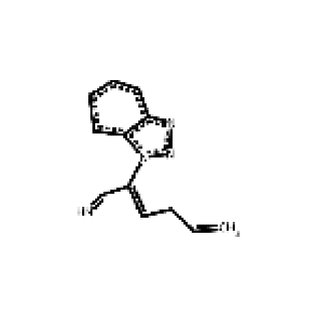 C=CC/C=C(/C=N)n1nnc2ccccc21